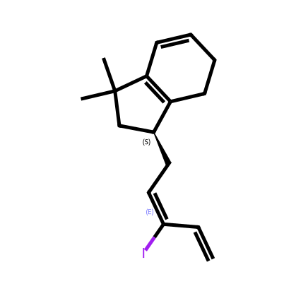 C=C/C(I)=C\C[C@H]1CC(C)(C)C2=C1CCC=C2